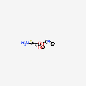 NCc1cc(-c2ccc([C@](O)(C(=O)OCC3CCN(Cc4ccccc4)CC3)c3ccccc3)cc2)cs1